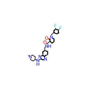 CN1CCC(Nc2cnc3ccc(CNC(=O)c4cccn(Cc5ccc(F)c(F)c5)c4=O)cc3n2)CC1